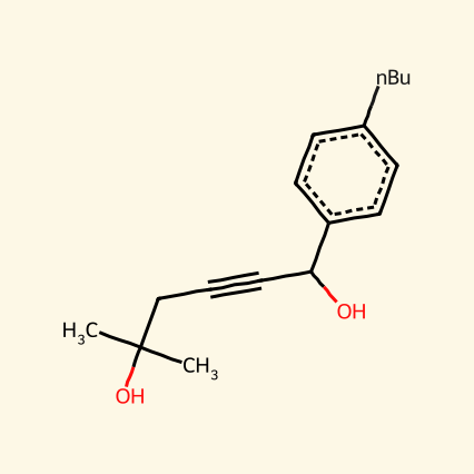 CCCCc1ccc(C(O)C#CCC(C)(C)O)cc1